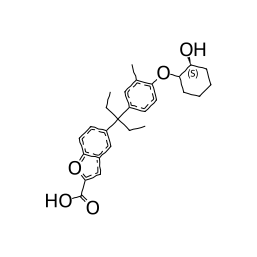 CCC(CC)(c1ccc(OC2CCCC[C@@H]2O)c(C)c1)c1ccc2oc(C(=O)O)cc2c1